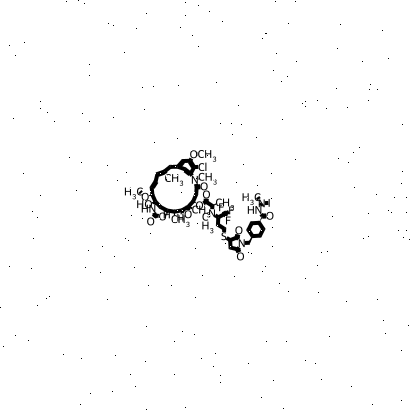 COc1cc2cc(c1Cl)N(C)C(=O)C[C@H](OC(=O)[C@H](C)N(C)C(CCSC1CC(=O)N(C[C@H]3CC[C@H](C(=O)NN(C)I)CC3)C1=O)C(F)(F)F)[C@]1(C)O[C@H]1[C@H](C)[C@@H]1C[C@@](O)(NC(=O)O1)[C@H](OC)/C=C/C=C(\C)C2